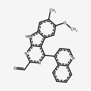 COc1cc2c(cc1C)[nH]c1nc(C=O)nc(-c3ccnc4ccccc34)c12